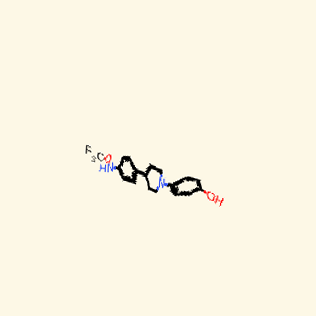 Oc1ccc(N2CCC(c3ccc(NOC(F)(F)F)cc3)CC2)cc1